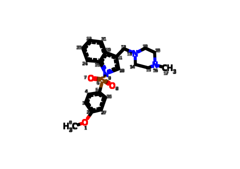 COc1ccc(S(=O)(=O)n2cc(CN3CCN(C)CC3)c3ccccc32)cc1